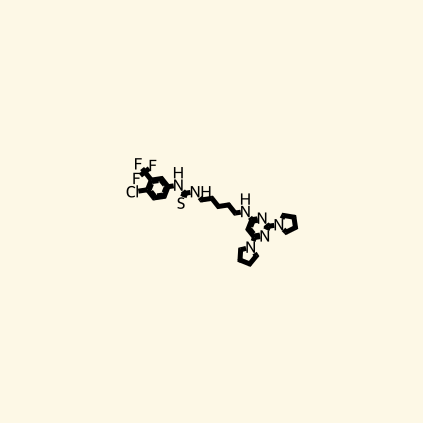 FC(F)(F)c1cc(NC(=S)NCCCCCNc2cc(N3CCCC3)nc(N3CCCC3)n2)ccc1Cl